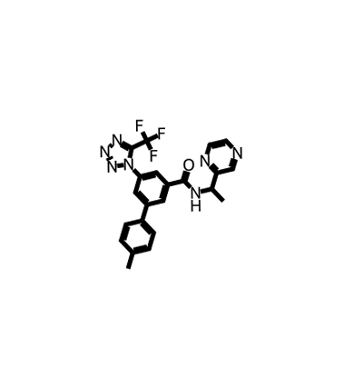 Cc1ccc(-c2cc(C(=O)NC(C)c3cnccn3)cc(-n3nnnc3C(F)(F)F)c2)cc1